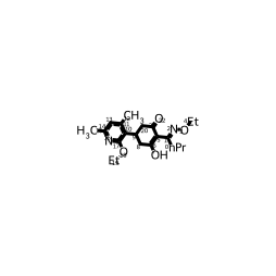 CCCC(=NOCC)C1=C(O)CC(c2c(C)cc(C)nc2OCC)CC1=O